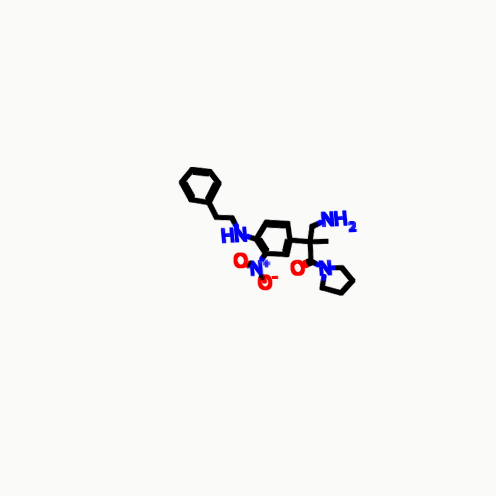 CC(CN)(C(=O)N1CCCC1)c1ccc(NCCc2ccccc2)c([N+](=O)[O-])c1